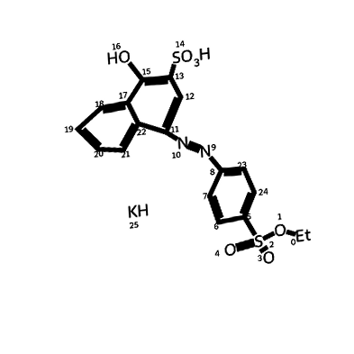 CCOS(=O)(=O)c1ccc(N=Nc2cc(S(=O)(=O)O)c(O)c3ccccc23)cc1.[KH]